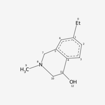 CCc1ccc2c(c1)CN(C)CC2O